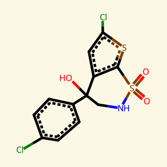 O=S1(=O)NCC(O)(c2ccc(Cl)cc2)c2cc(Cl)sc21